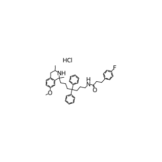 COc1ccc2c(c1)C(C)(CCCC(CCCNC(=O)CCc1ccc(F)cc1)(c1ccccc1)c1ccccc1)NC(C)C2.Cl